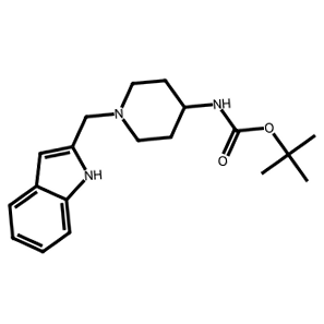 CC(C)(C)OC(=O)NC1CCN(Cc2cc3ccccc3[nH]2)CC1